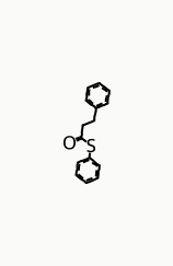 O=C(CCc1ccccc1)Sc1ccccc1